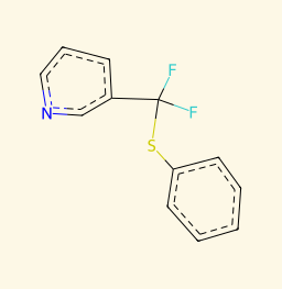 FC(F)(Sc1ccccc1)c1cccnc1